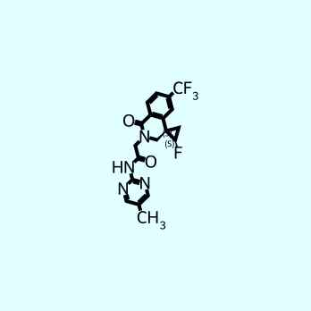 Cc1cnc(NC(=O)CN2C[C@]3(C[C@@H]3F)c3cc(C(F)(F)F)ccc3C2=O)nc1